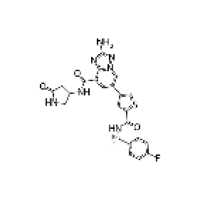 C[C@H](NC(=O)c1cc(-c2cc(C(=O)NC3CNC(=O)C3)c3nc(N)nn3c2)cs1)c1ccc(F)cc1